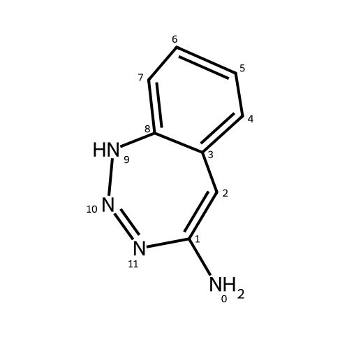 NC1=Cc2ccccc2NN=N1